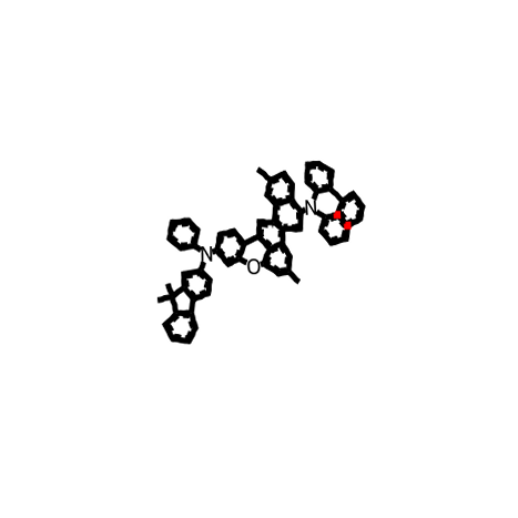 Cc1ccc2c(N(c3ccccc3)c3ccccc3-c3ccccc3)cc3c4cc(C)cc5c4c(cc3c2c1)-c1ccc(N(c2ccccc2)c2ccc3c(c2)C(C)(C)c2ccccc2-3)cc1O5